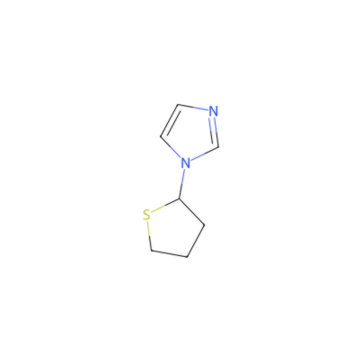 c1cn(C2CCCS2)cn1